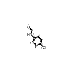 O=[C]Nc1ccc(Cl)nn1